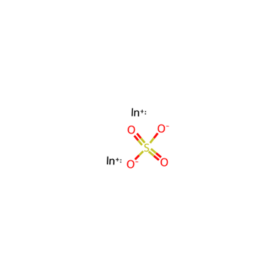 O=S(=O)([O-])[O-].[In+].[In+]